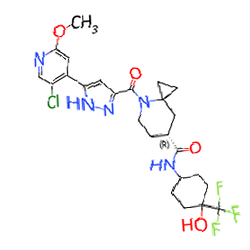 COc1cc(-c2cc(C(=O)N3CC[C@@H](C(=O)NC4CCC(O)(C(F)(F)F)CC4)CC34CC4)n[nH]2)c(Cl)cn1